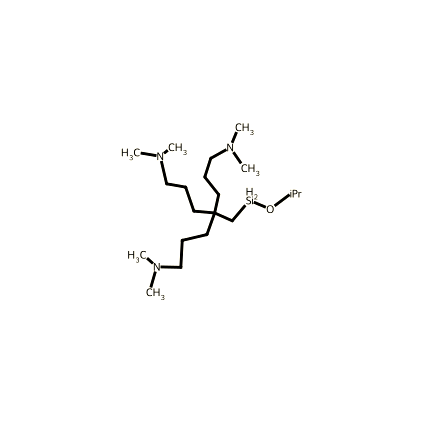 CC(C)O[SiH2]CC(CCCN(C)C)(CCCN(C)C)CCCN(C)C